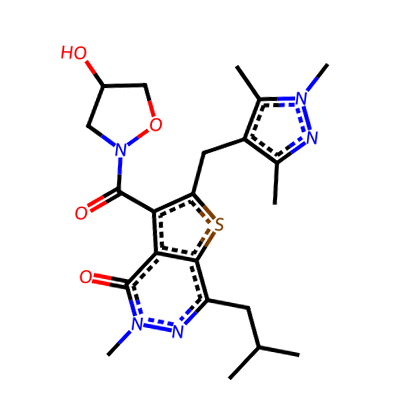 Cc1nn(C)c(C)c1Cc1sc2c(CC(C)C)nn(C)c(=O)c2c1C(=O)N1CC(O)CO1